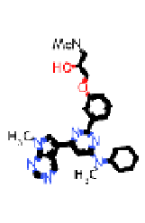 CNCC(O)COc1cccc(-c2nc(-c3cn(C)c4ncncc34)cc(N(C)C3CCCCC3)n2)c1